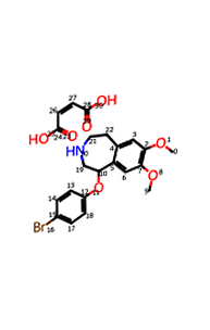 COc1cc2c(cc1OC)C(Oc1ccc(Br)cc1)CNCC2.O=C(O)/C=C\C(=O)O